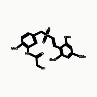 COc1cc(OC)c(C=CS(=O)(=O)Cc2ccc(OC)c(NC(=O)CO)c2)c(OC)c1